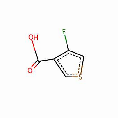 O=C(O)c1cscc1F